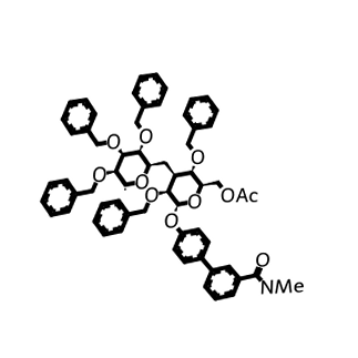 CNC(=O)c1cccc(-c2ccc(O[C@H]3O[C@H](COC(C)=O)[C@@H](OCc4ccccc4)[C@H](C[C@H]4O[CH][C@@H](OCc5ccccc5)[C@@H](OCc5ccccc5)[C@@H]4OCc4ccccc4)[C@@H]3OCc3ccccc3)cc2)c1